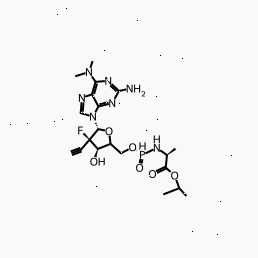 C#C[C@@]1(F)[C@H](O)C(CO[PH](=O)N[C@@H](C)C(=O)OC(C)C)O[C@H]1n1cnc2c(N(C)C)nc(N)nc21